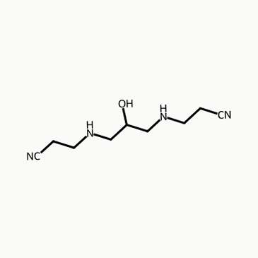 N#CCCNCC(O)CNCCC#N